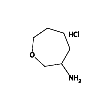 Cl.NC1CCCCOC1